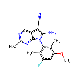 COc1cc(F)c(C)c(-n2c(N)c(C#N)c3cnc(C)nc32)c1C